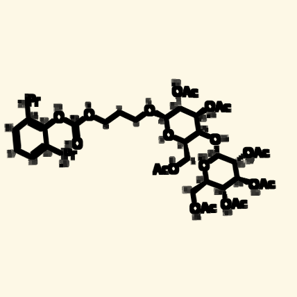 CC(=O)OC[C@H]1O[C@@H](OCCCOC(=O)Oc2c(C(C)C)cccc2C(C)C)[C@H](OC(C)=O)[C@@H](OC(C)=O)C1O[C@H]1O[C@H](COC(C)=O)[C@@H](OC(C)=O)[C@H](OC(C)=O)[C@H]1OC(C)=O